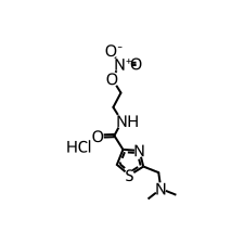 CN(C)Cc1nc(C(=O)NCCO[N+](=O)[O-])cs1.Cl